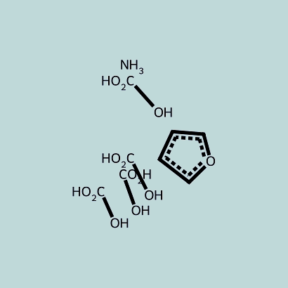 N.O=C(O)O.O=C(O)O.O=C(O)O.O=C(O)O.c1ccoc1